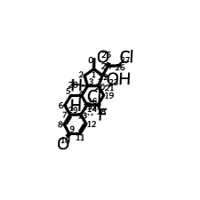 CC1C[C@H]2[C@@H]3CCC4=CC(=O)C=C[C@]4(C)[C@@]3(Cl)C(F)C[C@]2(C)[C@@]1(O)C(=O)CCl